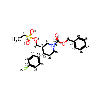 CCS(=O)(=O)OC[C@H]1CN(C(=O)OCc2ccccc2)CC[C@@H]1c1ccc(F)cc1